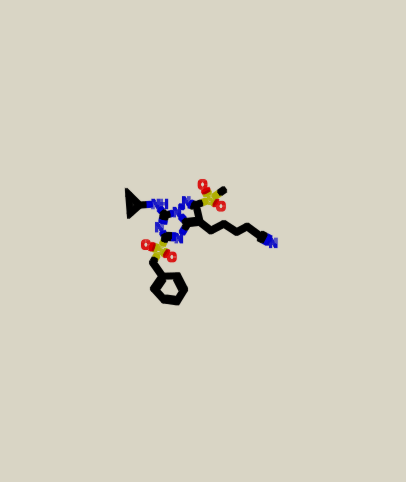 CS(=O)(=O)c1nn2c(NC3CC3)nc(S(=O)(=O)Cc3ccccc3)nc2c1CCCCC#N